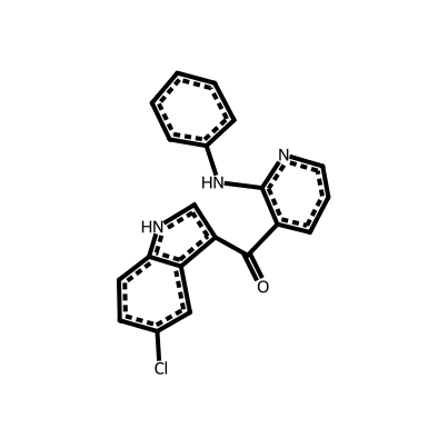 O=C(c1cccnc1Nc1ccccc1)c1c[nH]c2ccc(Cl)cc12